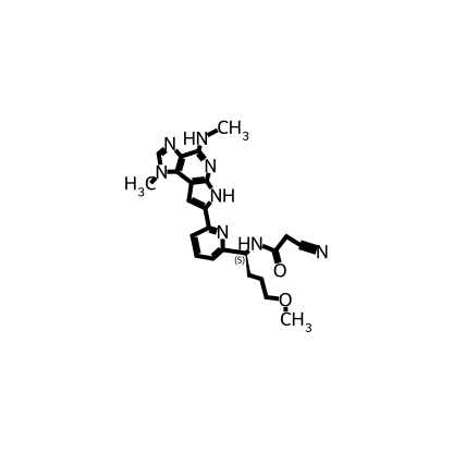 CNc1nc2[nH]c(-c3cccc([C@H](CCCOC)NC(=O)CC#N)n3)cc2c2c1ncn2C